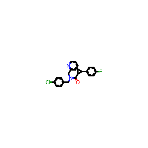 O=C(C1C[C@H]1c1ccc(F)cc1)N(Cc1ccc(Cl)cc1)Cc1ccccn1